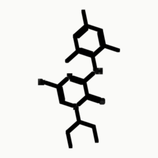 CCC(CC)n1cc(Br)nc(Nc2c(C)cc(C)cc2C)c1=O